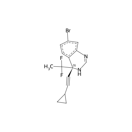 CC(F)(F)[C@@]1(C#CC2CC2)NC=Nc2cc(Br)ccc21